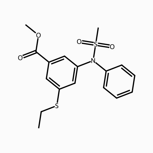 CCSc1cc(C(=O)OC)cc(N(c2ccccc2)S(C)(=O)=O)c1